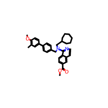 COC(=O)c1ccc2c(N(Cc3ccc(-c4ccc(OC)c(C)c4)cc3)CC3CCCCCC3)nccc2c1